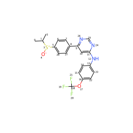 CC(C)[S+]([O-])c1ccc(-c2cc(Nc3ccc(OC(F)(F)F)cc3)ncn2)cc1